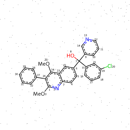 COc1nc2ccc(C(O)(c3cccnc3)c3cccc(Cl)c3)cc2c(OC)c1-c1ccccc1